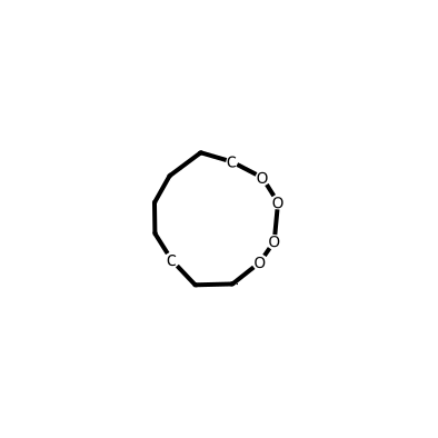 [CH]1CCCCCCCOOOO1